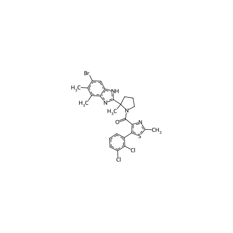 Cc1nc(C(=O)N2CCCC2(C)c2nc3c(C)c(C)c(Br)cc3[nH]2)c(-c2cccc(Cl)c2Cl)s1